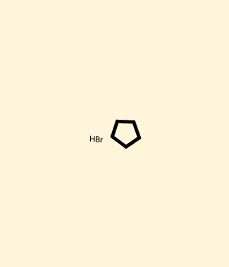 Br.C1CCCC1